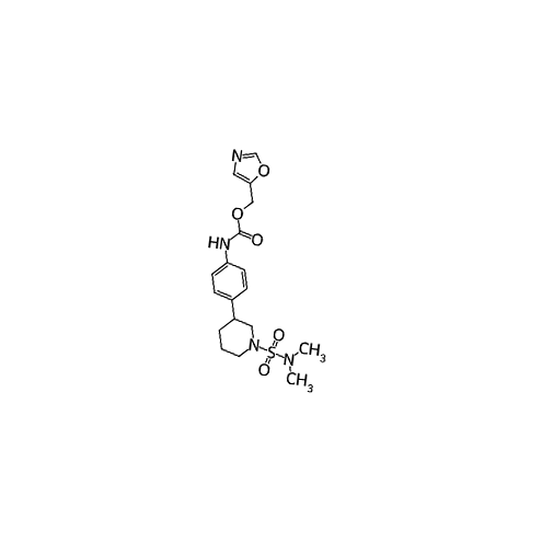 CN(C)S(=O)(=O)N1CCCC(c2ccc(NC(=O)OCc3cnco3)cc2)C1